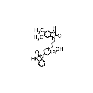 CC(C)O.Cc1cc2[nH]c(=O)n(CCCN3CCC(n4c(=O)[nH]c5ccccc54)CC3)c2cc1C